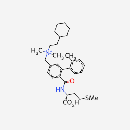 CSCC[C@H](NC(=O)c1ccc(C[N+](C)(C)CCC2CCCCC2)cc1-c1ccccc1C)C(=O)O